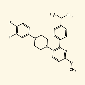 COc1ccc(N2CCN(c3ccc(F)c(F)c3)CC2)c(-c2ccc(C(C)C)cc2)n1